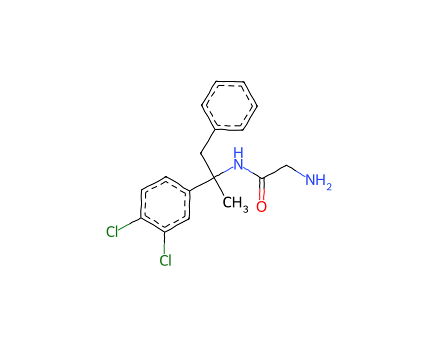 CC(Cc1ccccc1)(NC(=O)CN)c1ccc(Cl)c(Cl)c1